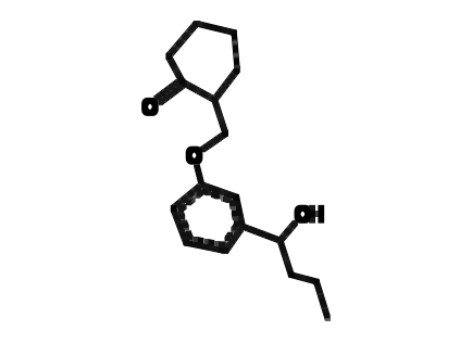 CCCC(O)c1cccc(OCC2CCCCC2=O)c1